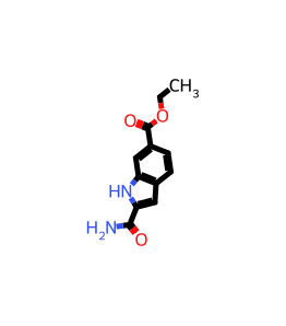 CCOC(=O)c1ccc2cc(C(N)=O)[nH]c2c1